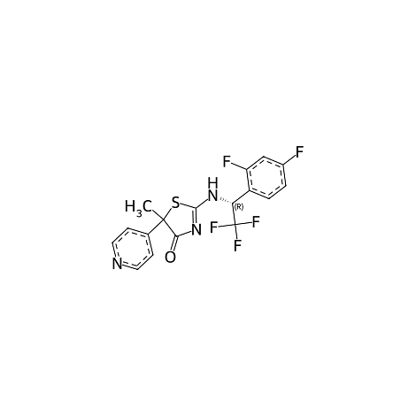 CC1(c2ccncc2)SC(N[C@H](c2ccc(F)cc2F)C(F)(F)F)=NC1=O